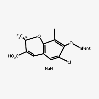 CCCCCOc1c(Cl)cc2c(c1C)O[C@H](C(F)(F)F)C(C(=O)O)=C2.[NaH]